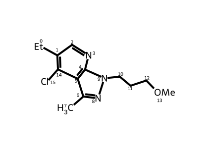 CCc1cnc2c(c(C)nn2CCCOC)c1Cl